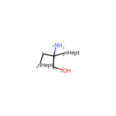 CCCCCCCCC(N)(CO)CCCCCCC